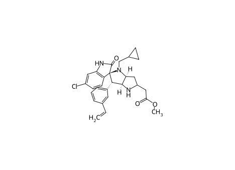 C=Cc1cccc([C@H]2[C@@H]3NC(CC(=O)OC)C[C@@H]3N(CC3CC3)[C@@]23C(=O)Nc2cc(Cl)ccc23)c1